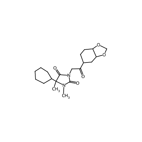 CN1C(=O)N(CC(=O)C2CCC3OCOC3C2)C(=O)C1(C)C1CCCCC1